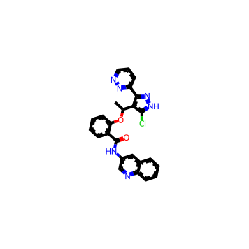 CC(Oc1ccccc1C(=O)Nc1cnc2ccccc2c1)c1c(-c2cccnn2)n[nH]c1Cl